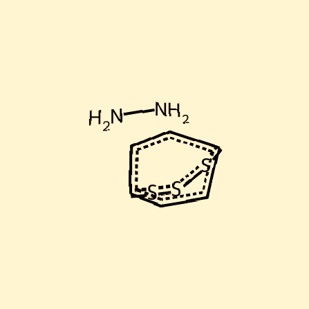 NN.c1cc2ccc1sss2